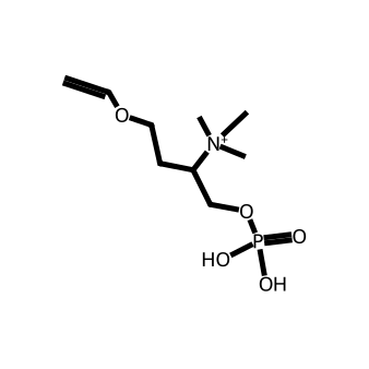 C=COCCC(COP(=O)(O)O)[N+](C)(C)C